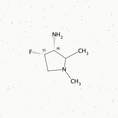 CC1[C@@H](N)[C@@H](F)CN1C